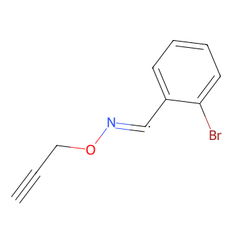 C#CCON=[C]c1ccccc1Br